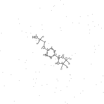 CC(C)(O)COc1ccc(B2OC(C)(C)C(C)(C)O2)cn1